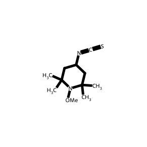 CON1C(C)(C)CC(N=C=S)CC1(C)C